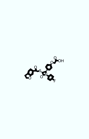 O=C(O)COc1ccc([C@@H]2[C@@H](SCC(=O)c3ccc4c(c3)OCC4)C(=O)N2c2ccc(F)cc2)cc1